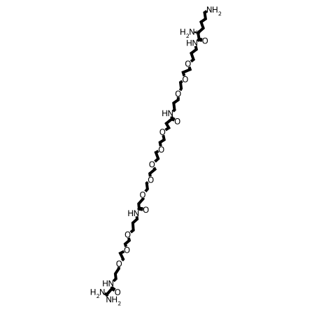 NCCCC[C@H](N)C(=O)NCCCOCCOCCOCCCNC(=O)CCOCCOCCOCCOCCOCCC(=O)NCCCOCCOCCOCCCNC(=O)C(N)N